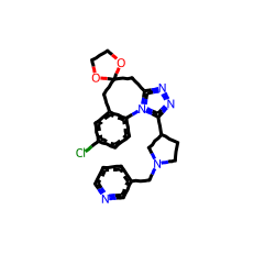 Clc1ccc2c(c1)CC1(Cc3nnc(C4CCN(Cc5cccnc5)C4)n3-2)OCCO1